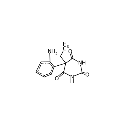 CCC1(c2ccccc2N)C(=O)NC(=O)NC1=O